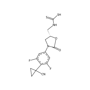 N#CC1(c2c(F)cc(N3C[C@H](CNC(=S)S)OC3=O)cc2F)CC1